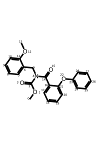 COC(=O)N(Cc1ccccc1OC)C(=O)c1ccccc1Oc1ccccc1